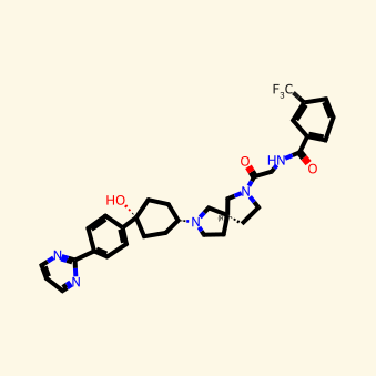 O=C(NCC(=O)N1CC[C@@]2(CCN([C@H]3CC[C@](O)(c4ccc(-c5ncccn5)cc4)CC3)C2)C1)c1cccc(C(F)(F)F)c1